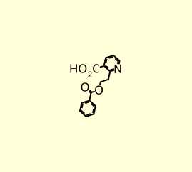 O=C(OCCc1ncccc1C(=O)O)c1ccccc1